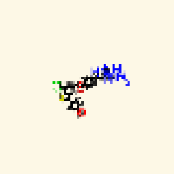 COc1ccc(-c2csc3c(Cl)cc(COc4ccc(CC/C(=N/N)NN)cc4)cc23)c(C)c1